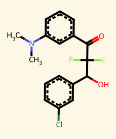 CN(C)c1cccc(C(=O)C(F)(F)C(O)c2cccc(Cl)c2)c1